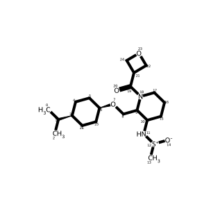 CC(C)[C@H]1CC[C@@H](OCC2C(N[S+](C)[O-])CCCN2C(=O)C2COC2)CC1